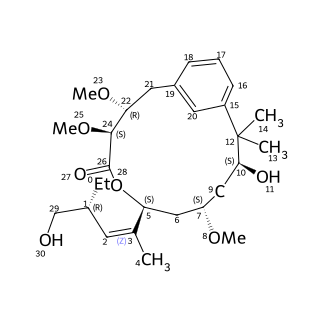 CC[C@H](/C=C(/C)[C@@H]1C[C@@H](OC)C[C@H](O)C(C)(C)c2cccc(c2)C[C@@H](OC)[C@H](OC)C(=O)O1)CO